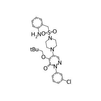 CC(C)(C)COc1c(N2CCN(S(=O)(=O)Cc3ccccc3N)CC2)cnn(-c2cccc(Cl)c2)c1=O